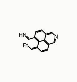 CC/C=c1/ccc2cncc3ccc(C=N)c1c32